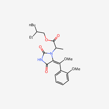 CCCCC(CC)COC(=O)C(C)N1C(=O)NC(=O)C1=C(OC)c1ccccc1OC